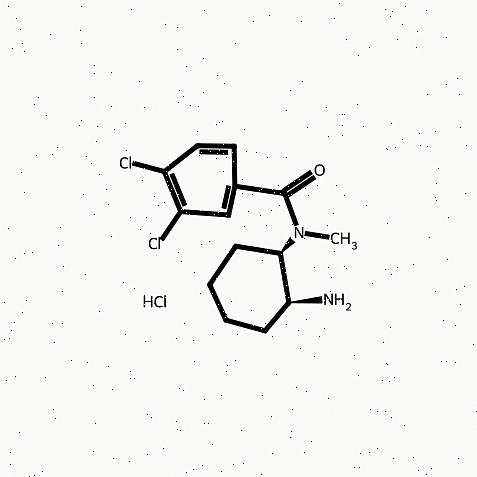 CN(C(=O)c1ccc(Cl)c(Cl)c1)[C@@H]1CCCC[C@@H]1N.Cl